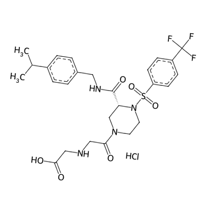 CC(C)c1ccc(CNC(=O)[C@H]2CN(C(=O)CNCC(=O)O)CCN2S(=O)(=O)c2ccc(C(F)(F)F)cc2)cc1.Cl